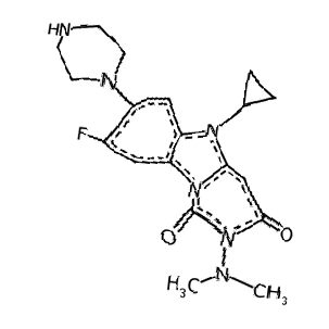 CN(C)n1c(=O)cc2n(C3CC3)c3cc(N4CCNCC4)c(F)cc3n2c1=O